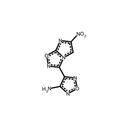 Nc1nonc1-c1noc2nc([N+](=O)[O-])cn12